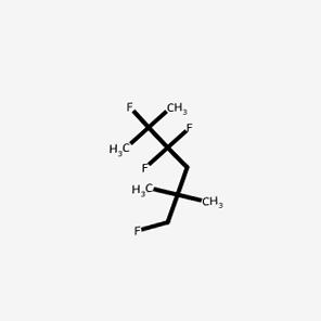 CC(C)(CF)CC(F)(F)C(C)(C)F